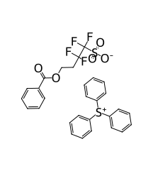 O=C(OCCC(F)(F)C(F)(F)S(=O)(=O)[O-])c1ccccc1.c1ccc([S+](c2ccccc2)c2ccccc2)cc1